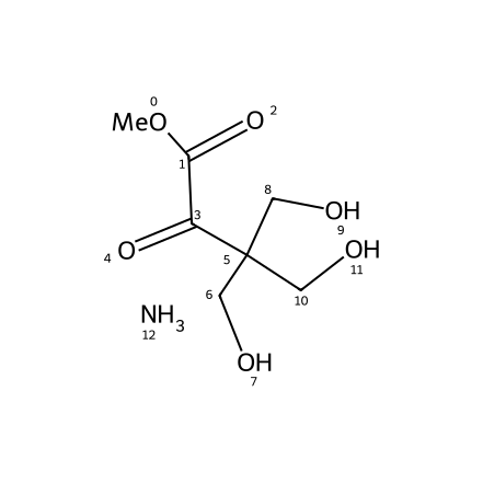 COC(=O)C(=O)C(CO)(CO)CO.N